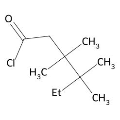 CCC(C)(C)C(C)(C)CC(=O)Cl